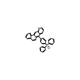 O=P(c1ccccc1)(c1ccccc1)c1ccc(-c2c3cccnc3cc3c2ccc2ccccc23)cc1